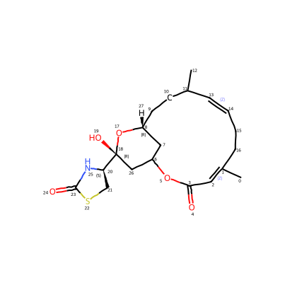 C/C1=C/C(=O)OC2C[C@@H](CCC(C)/C=C\CC1)O[C@@](O)([C@H]1CSC(=O)N1)C2